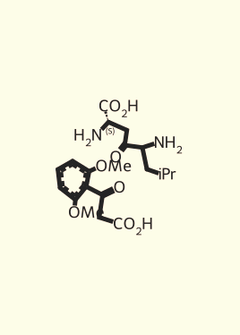 CC(C)CC(N)C(=O)C[C@H](N)C(=O)O.COc1cccc(OC)c1C(=O)CC(=O)O